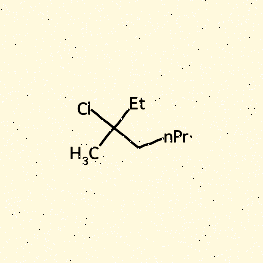 CC[CH]CC(C)(Cl)CC